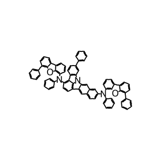 c1ccc(-c2ccc3c4c(N(c5ccccc5)c5cccc6c5oc5c(-c7ccccc7)cccc56)ccc5c6cc7ccc(N(c8ccccc8)c8cccc9c8oc8c(-c%10ccccc%10)cccc89)cc7cc6n(c3c2)c54)cc1